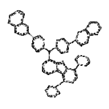 c1ccc(-c2ccc(-c3ccccc3)c3c2sc2c(N(c4ccc(-c5ccc6ccccc6c5)cc4)c4ccc(-c5ccc6ccccc6c5)cc4)cccc23)cc1